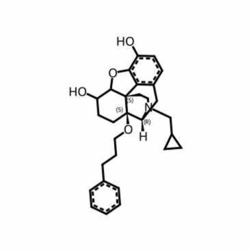 Oc1ccc2c3c1OC1C(O)CC[C@@]4(OCCCc5ccccc5)[C@@H](C2)N(CC2CC2)CC[C@]314